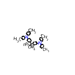 CCCC(C)(CC)C(c1ccc(N(c2ccc(C)cc2)c2ccc(C)cc2)cc1)c1ccc(N(c2ccc(C)cc2)c2ccc(C)cc2)cc1